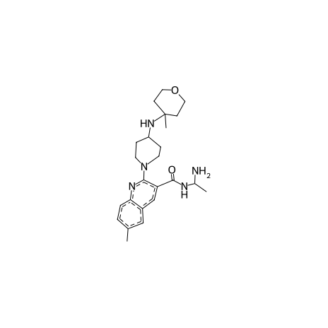 Cc1ccc2nc(N3CCC(NC4(C)CCOCC4)CC3)c(C(=O)NC(C)N)cc2c1